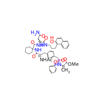 COC(=O)[C@H](C)N[P+]([O-])(Cc1ccc(C[C@H](NC(C)=O)C(=O)NC2(C(=O)N[C@@H](CC(N)=O)C(=O)NCCCc3c(O)ccc4ccccc34)CCCCC2)cc1)Oc1ccccc1